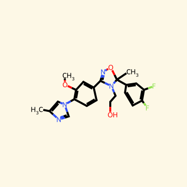 COc1cc(C2=NOC(C)(c3ccc(F)c(F)c3)N2CCO)ccc1-n1cnc(C)c1